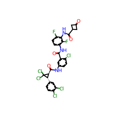 O=C1CC(C(=O)Nc2c(F)ccc(NC(=O)c3cc(NC(=O)[C@H]4[C@H](c5ccc(Cl)c(Cl)c5)C4(Cl)Cl)ccc3Cl)c2F)C1